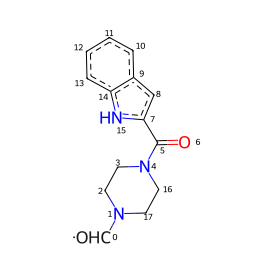 O=[C]N1CCN(C(=O)c2cc3ccccc3[nH]2)CC1